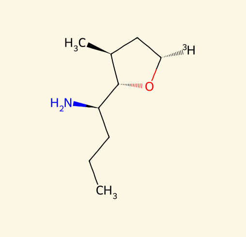 [3H][C@H]1C[C@H](C)[C@@H]([C@H](N)CCC)O1